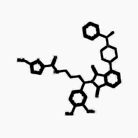 COc1ccc([C@@H](CCCNC(=O)c2ccc(SC)s2)N2C(=O)c3cccc(N4CCN([C@H](C)c5ccccc5)CC4)c3C2=O)cc1OC